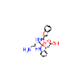 NCCC[C@H](NC(=O)c1cc2ccccc2o1)C(=O)Nc1ccccc1CCC(=O)O